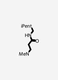 CCCC(C)CNC(=O)CCNC